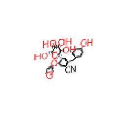 N#Cc1cc(O[C@@H]2CCOC2)c([C@@H]2O[C@H](CO)[C@@H](O)[C@H](O)[C@H]2O)cc1Cc1ccc(O)cc1